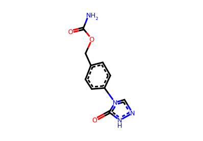 NC(=O)OCc1ccc(-n2cn[nH]c2=O)cc1